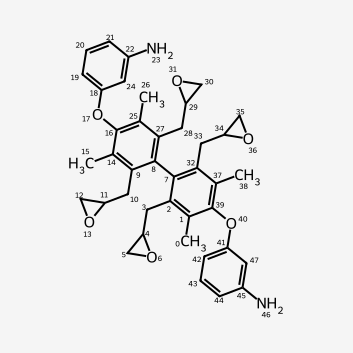 Cc1c(CC2CO2)c(-c2c(CC3CO3)c(C)c(Oc3cccc(N)c3)c(C)c2CC2CO2)c(CC2CO2)c(C)c1Oc1cccc(N)c1